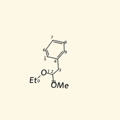 CCOC(Cc1[c]cccc1)OC